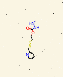 CNNC(=O)OCCSSCc1ccccn1